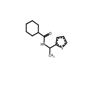 CC(NC(=O)C1CCCCC1)c1cccs1